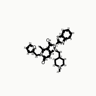 Cc1c2c(=O)n(-c3nc4ccccc4s3)n(CC3CCN(C)CC3)c2cc(=O)n1Cc1ccco1